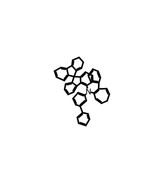 C1=CC(c2ccccc2)=C(N(c2cccc(-c3ccccc3)c2)c2cccc3c2-c2ccccc2C32C3=CCCC=C3c3ccccc32)C=CC1